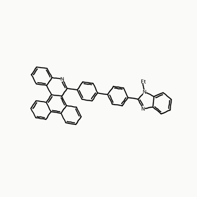 CCn1c(-c2ccc(-c3ccc(-c4nc5ccccc5c5c6ccccc6c6ccccc6c45)cc3)cc2)nc2ccccc21